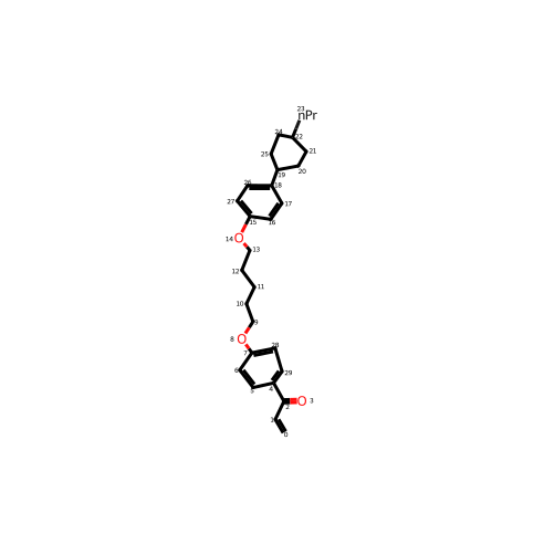 C=CC(=O)c1ccc(OCCCCCOc2ccc(C3CCC(CCC)CC3)cc2)cc1